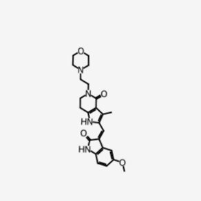 COc1ccc2c(c1)/C(=C/c1[nH]c3c(c1C)C(=O)N(CCN1CCOCC1)CC3)C(=O)N2